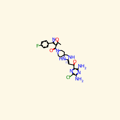 Cc1onc(-c2ccc(F)cc2)c1C(=O)N1CCC2(CC1)CN/C(=C\C(=O)c1nc(Cl)c(N)nc1N)N2